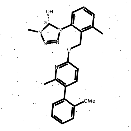 COc1ccccc1-c1ccc(OCc2c(C)cccc2N2N=NN(C)[C@@H]2O)nc1C